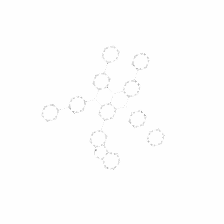 c1ccc(-c2ccc(N3c4ccc(-c5ccccc5)cc4B4c5cc(-c6ccccc6)ccc5N(c5ccc(-c6ccccc6)cc5)c5cc(-c6ccc7oc8ccccc8c7c6)cc3c54)cc2)cc1